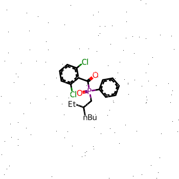 CCCCC(CC)CP(=O)(C(=O)c1c(Cl)cccc1Cl)c1ccccc1